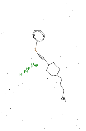 CCCCC1CCC(C#CSc2ccccc2)CC1.F.F.F.F.F